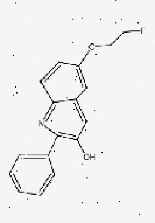 Oc1cc2cc(OCCF)ccc2nc1-c1ccccc1